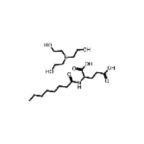 CCCCCCCC(=O)NC(CCC(=O)O)C(=O)O.OCCN(CCO)CCO